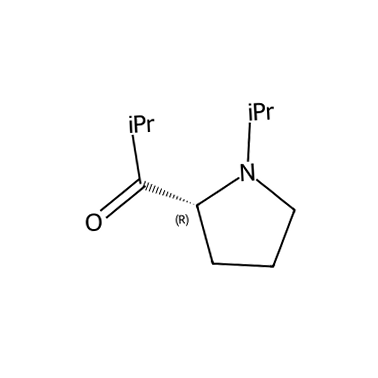 CC(C)C(=O)[C@H]1CCCN1C(C)C